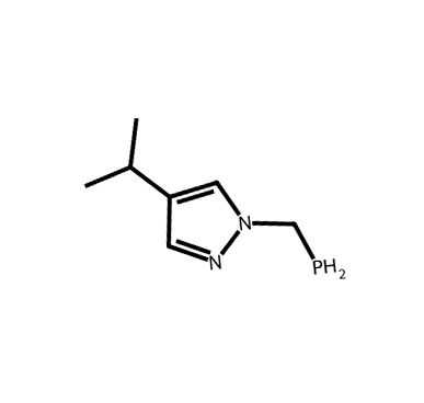 CC(C)c1cnn(CP)c1